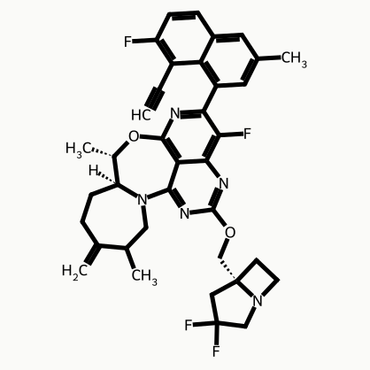 C#Cc1c(F)ccc2cc(C)cc(-c3nc4c5c(nc(OC[C@]67CCN6CC(F)(F)C7)nc5c3F)N3CC(C)C(=C)CC[C@H]3[C@H](C)O4)c12